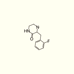 O=C1NCC[N]C1Cc1ccccc1F